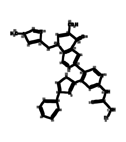 CCNC(=O)Nc1cc(-c2nc(-c3ccccc3)cs2)c(-c2cc3c(=O)c(C(=O)O)cn(Cc4cn(C)cn4)c3cn2)cn1